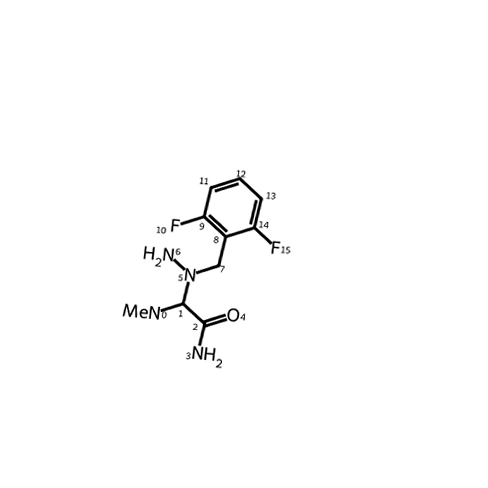 CNC(C(N)=O)N(N)Cc1c(F)cccc1F